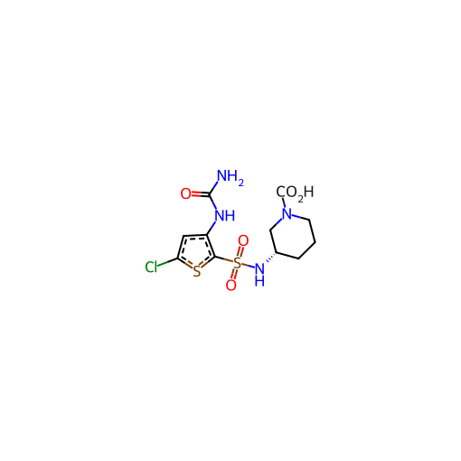 NC(=O)Nc1cc(Cl)sc1S(=O)(=O)N[C@H]1CCCN(C(=O)O)C1